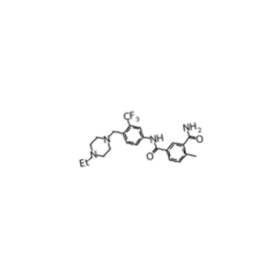 CCN1CCN(Cc2ccc(NC(=O)c3ccc(C)c(C(N)=O)c3)cc2C(F)(F)F)CC1